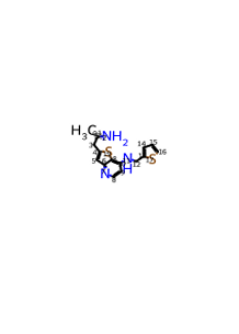 C[C@H](N)Cc1cc2nccc(NCc3cccs3)c2s1